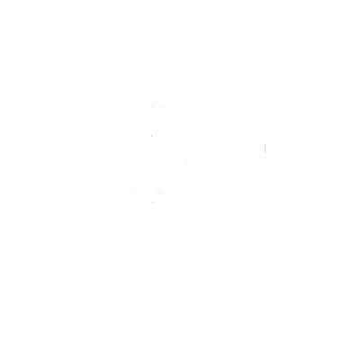 O=C(CC1CCC=CC1C(=O)O)OC(=O)CC1CCC=CC1C(=O)O